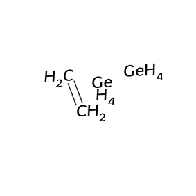 C=C.[GeH4].[GeH4]